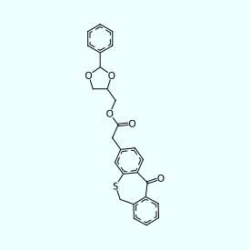 O=C(Cc1ccc2c(c1)SCc1ccccc1C2=O)OCC1COC(c2ccccc2)O1